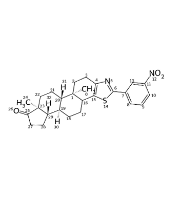 C[C@]12CCc3nc(-c4cccc([N+](=O)[O-])c4)sc3C1CC[C@@H]1[C@@H]2CC[C@]2(C)C(=O)CC[C@@H]12